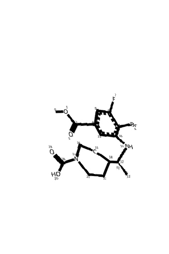 COC(=O)c1cc(F)c(Br)c(N[C@@H](C)C2CCN(C(=O)O)CC2)c1